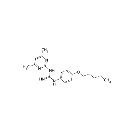 CCCCCOc1ccc(NC(=N)Nc2nc(C)cc(C)n2)cc1